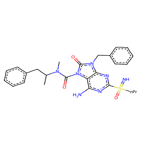 CCCS(=N)(=O)c1nc(N)c2c(n1)n(Cc1ccccc1)c(=O)n2C(=O)N(C)C(C)Cc1ccccc1